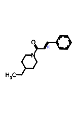 CCC1CCN(C(=O)/C=C/c2ccccc2)CC1